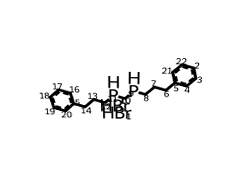 Br.Br.c1ccc(CCCPCPCCCc2ccccc2)cc1